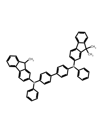 CC1c2ccccc2-c2ccc(N(c3ccccc3)c3ccc(-c4ccc(N(c5ccccc5)c5ccc6c(c5)C(C)(C)c5ccccc5-6)cc4)cc3)cc21